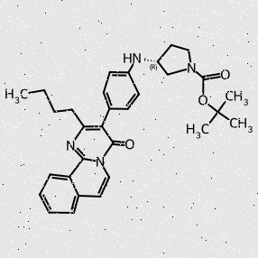 CCCCc1nc2c3ccccc3ccn2c(=O)c1-c1ccc(N[C@@H]2CCN(C(=O)OC(C)(C)C)C2)cc1